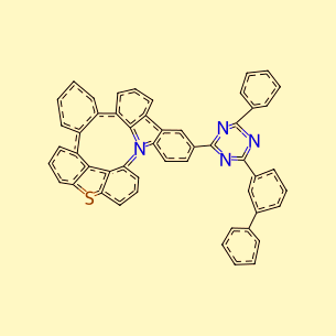 c1ccc(-c2cccc(-c3nc(-c4ccccc4)nc(-c4ccc5c(c4)c4cccc6c7ccccc7c7cccc8sc9cccc(c9c87)n5c64)n3)c2)cc1